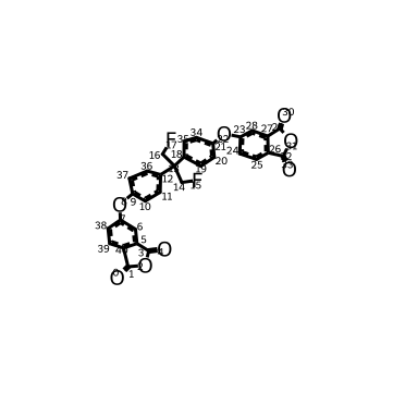 O=C1OC(=O)c2cc(Oc3ccc(C(CF)(CF)c4ccc(Oc5ccc6c(c5)C(=O)OC6=O)cc4)cc3)ccc21